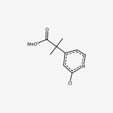 COC(=O)C(C)(C)c1ccnc(Cl)c1